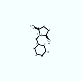 O=C1CCC(=O)N1CC1CCCCC1